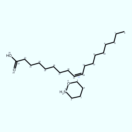 C1CC[SiH2]OC1.CCCCCCCC/C=C\CCCCCCCC(=O)O